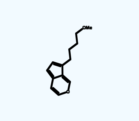 COCCCCc1ccc2ccocc1-2